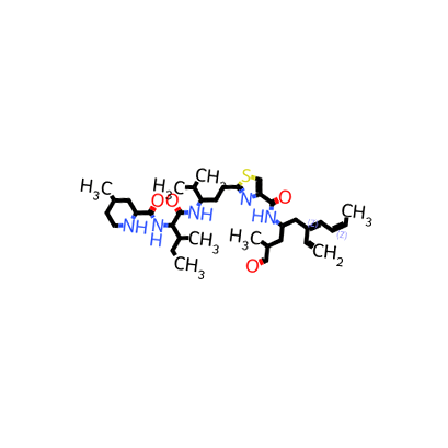 C=C/C(=C\C=C/C)CC(CC(C)C=O)NC(=O)c1csc(CCC(NC(=O)C(NC(=O)C2CC(C)CCN2)C(C)CC)C(C)C)n1